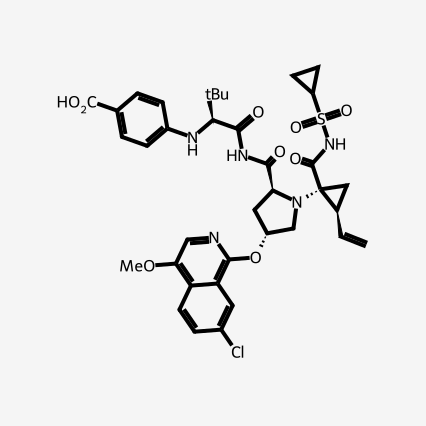 C=C[C@@H]1C[C@@]1(C(=O)NS(=O)(=O)C1CC1)N1C[C@H](Oc2ncc(OC)c3ccc(Cl)cc23)C[C@H]1C(=O)NC(=O)[C@@H](Nc1ccc(C(=O)O)cc1)C(C)(C)C